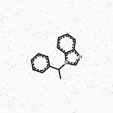 CC(c1ccccc1)n1[c]nc2ccccc21